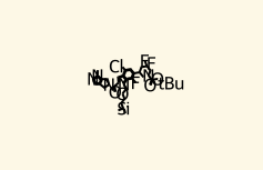 Cn1ncc2c1CN(C(=O)c1cc3c(Cl)cc(C4CN(C(=O)OC(C)(C)C)CC(F)(F)C4)c(F)c3n1COCC[Si](C)(C)C)C2